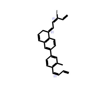 C=C/C=C\c1ccc(-c2ccc3c(c2)C=CC/C3=C\C=C(\I)C=C)cc1C